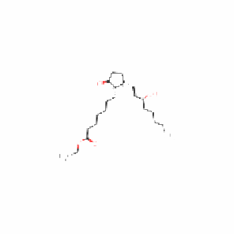 CCCCCC(O)C=C[C@H]1CCC(=O)[C@H]1CCCCCCC(=O)OCC